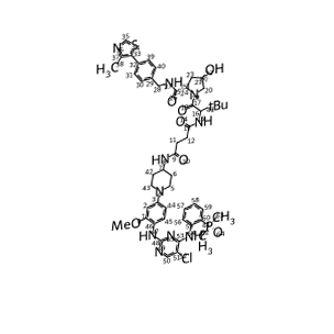 COc1cc(N2CCC(NC(=O)CCC(=O)NC(C(=O)N3C[C@H](O)C[C@H]3C(=O)NCc3ccc(-c4scnc4C)cc3)C(C)(C)C)CC2)ccc1Nc1ncc(Cl)c(Nc2ccccc2P(C)(C)=O)n1